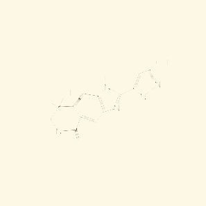 Cc1cc(-c2nc3cc4c(cc3[nH]2)C(C)(C)CNC4=O)[nH]n1